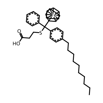 CCCCCCCCCCc1ccc(C(SCCC(=O)O)(c2ccccc2)[C]23[CH]4[CH]5[CH]6[CH]2[Fe]56432789[CH]3[CH]2[CH]7[CH]8[CH]39)cc1